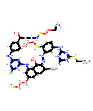 C=COOSN=C=C=C(O)c1ccc(Nc2nc(Cl)nc(Nc3cc(OOOS)cc4cc(S(=O)(=O)O)c(N=Nc5cc(Nc6nc(Cl)nc(SCC(=O)O)n6)ccc5SOOO)c(O)c34)n2)cc1